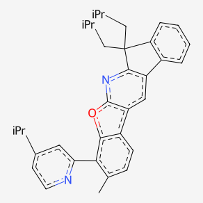 Cc1ccc2c(oc3nc4c(cc32)-c2ccccc2C4(CC(C)C)CC(C)C)c1-c1cc(C(C)C)ccn1